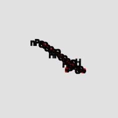 CCCOCCOCCOCCOCCOCCC(=O)NCCCOCCOCCOCCCNC(=O)[C@H](CCCCNC(=O)OCc1ccccc1)NC(=O)OCc1ccccc1